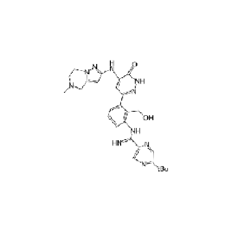 CN1CCn2nc(Nc3cc(-c4cccc(NC(=N)c5cnc(C(C)(C)C)cn5)c4CO)n[nH]c3=O)cc2C1